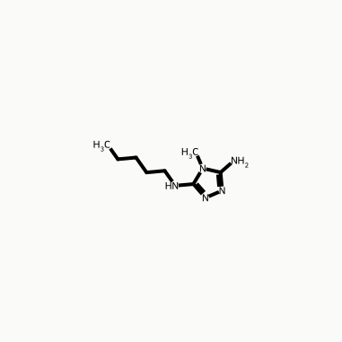 CCCCCNc1nnc(N)n1C